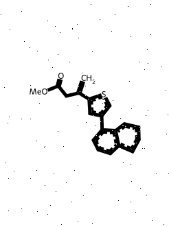 C=C(CC(=O)OC)c1cc(-c2cccc3ccccc23)cs1